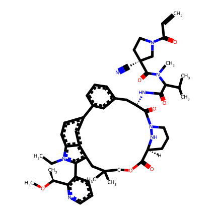 C=CC(=O)N1CC[C@](C#N)(C(=O)N(C)C(C(=O)N[C@H]2Cc3cccc(c3)-c3ccc4c(c3)c(c(-c3cccnc3[C@H](C)OC)n4CC)CC(C)(C)COC(=O)[C@@H]3CCCN(N3)C2=O)C(C)C)C1